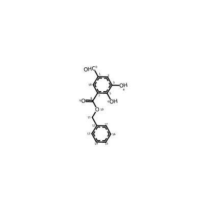 O=Cc1cc(O)c(O)c(C(=O)OCc2ccccc2)c1